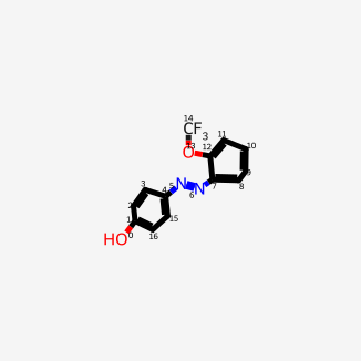 Oc1ccc(N=Nc2ccccc2OC(F)(F)F)cc1